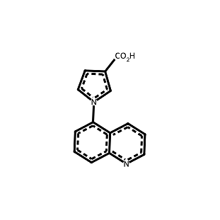 O=C(O)c1ccn(-c2cccc3ncccc23)c1